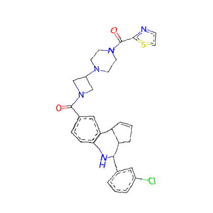 O=C(c1ccc2c(c1)C1C=CCC1C(c1cccc(Cl)c1)N2)N1CC(N2CCN(C(=O)c3nccs3)CC2)C1